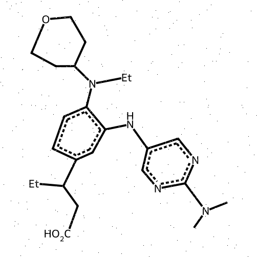 CCC(CC(=O)O)c1ccc(N(CC)C2CCOCC2)c(Nc2cnc(N(C)C)nc2)c1